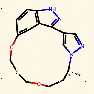 C[C@@H]1CCOCCCOc2ccc3[nH]nc(c3c2)-c2cnn1c2